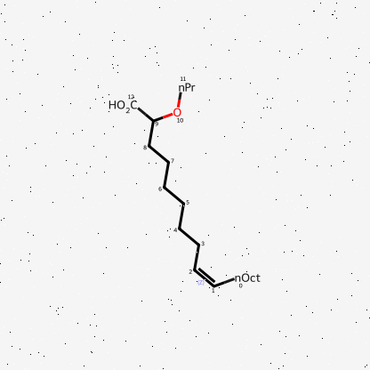 CCCCCCCC/C=C\CCCCCCC(OCCC)C(=O)O